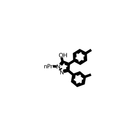 CCCn1nc(-c2cccc(C)c2)c(-c2ccc(C)cc2)c1O